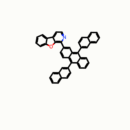 c1ccc2cc(-c3c4ccccc4c(-c4ccc5ccccc5c4)c4cc(-c5nccc6c5oc5ccccc56)ccc34)ccc2c1